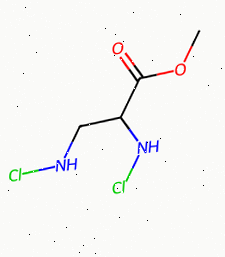 COC(=O)C(CNCl)NCl